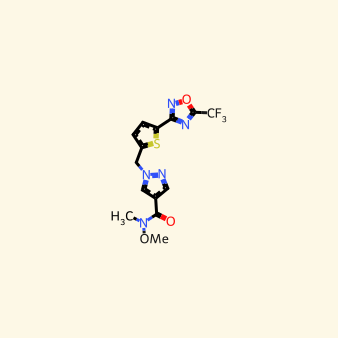 CON(C)C(=O)c1cnn(Cc2ccc(-c3noc(C(F)(F)F)n3)s2)c1